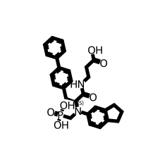 O=C(O)CCNC(=O)[C@H](Cc1ccc(-c2ccccc2)cc1)N(CP(=O)(O)O)c1ccc2c(c1)CCC2